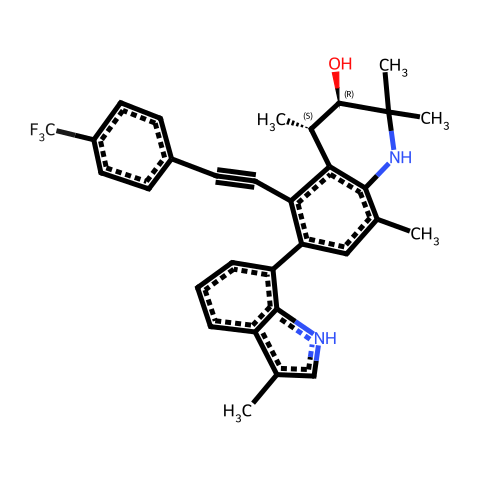 Cc1cc(-c2cccc3c(C)c[nH]c23)c(C#Cc2ccc(C(F)(F)F)cc2)c2c1NC(C)(C)[C@H](O)[C@H]2C